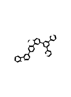 c1cncc(-c2cc(-c3cccnc3)cc(-c3ccc4c(c3)-c3ccc(-c5ccc6oc7ccccc7c6c5)cc3OCO4)c2)c1